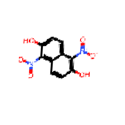 O=[N+]([O-])c1c(O)ccc2c([N+](=O)[O-])c(O)ccc12